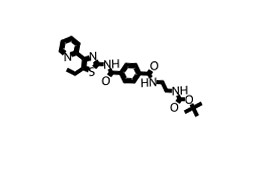 CCc1sc(NC(=O)c2ccc(C(=O)NCCNC(=O)OC(C)(C)C)cc2)nc1-c1ccccn1